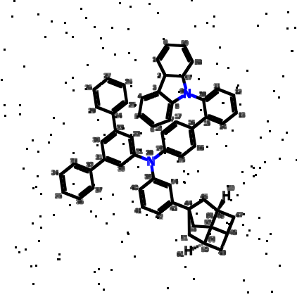 C1=CC2c3ccccc3N(c3ccccc3-c3ccc(N(c4cc(-c5ccccc5)cc(-c5ccccc5)c4)c4cccc(C56C[C@@H]7CC8C[C@@H](C5)C87C6)c4)cc3)C2C=C1